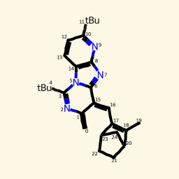 C=c1nc(C(C)(C)C)n2c(nc3nc(C(C)(C)C)ccc32)/c1=C/C1=C(C)C2CCC1C2